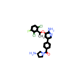 CC(Oc1cc(-c2ccc(C(=O)N3CC[C@H](N)C3)cc2)cnc1N)c1c(Cl)ccc(F)c1Cl